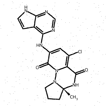 C[C@@]12CCCN1n1c(c(Cl)cc(Nc3ncnc4[nH]ccc34)c1=O)C(=O)N2